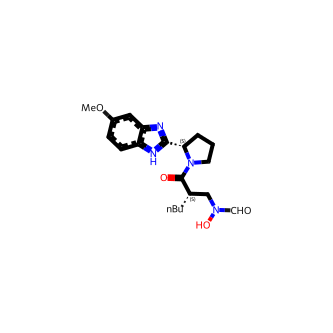 CCCC[C@@H](CN(O)C=O)C(=O)N1CCC[C@H]1c1nc2cc(OC)ccc2[nH]1